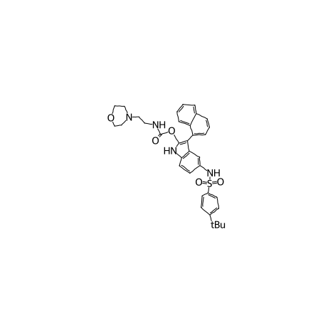 CC(C)(C)c1ccc(S(=O)(=O)Nc2ccc3[nH]c(OC(=O)NCCN4CCOCC4)c(-c4cccc5ccccc45)c3c2)cc1